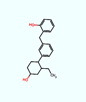 CCC1CC(O)CCC1c1cccc(Cc2ccccc2O)c1